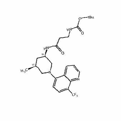 C[C@H]1C[C@@H](NC(=O)CCNC(=O)OC(C)(C)C)CN(c2ccc(C(F)(F)F)c3ncccc23)C1